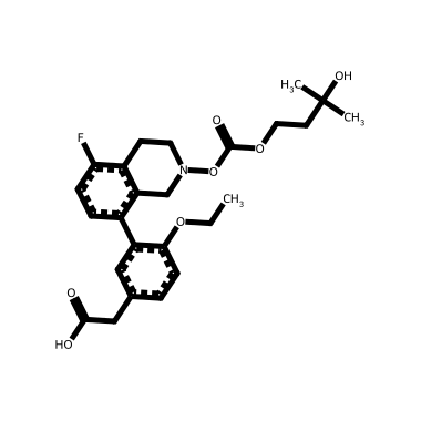 CCOc1ccc(CC(=O)O)cc1-c1ccc(F)c2c1CN(OC(=O)OCCC(C)(C)O)CC2